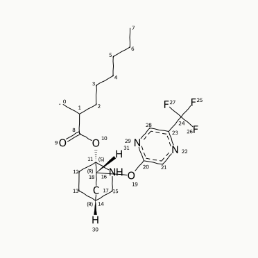 [CH2]C(CCCCCC)C(=O)O[C@]12CC[C@@H](CN1)C[C@H]2Oc1cnc(C(F)(F)F)cn1